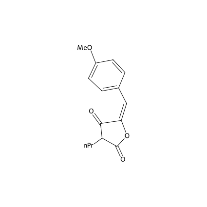 CCCC1C(=O)OC(=Cc2ccc(OC)cc2)C1=O